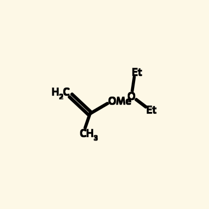 C=C(C)OC.CCOCC